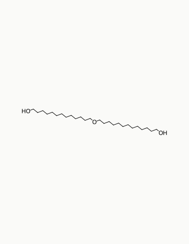 OCCCCCCCCCCCCCOCCCCCCCCCCCCCO